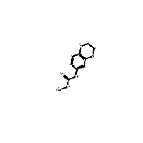 CC(C)(C)NC(=O)Nc1ccc2c(c1)OCCO2